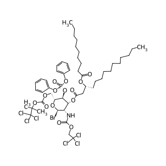 CCCCCCCCCCC[C@H](CC(=O)O[C@@H]1[C@H](NC(=O)OCC(Cl)(Cl)Cl)[C@@H](Br)O[C@H](COC(=O)OC(C)(C)C(Cl)(Cl)Cl)[C@H]1OP(=O)(Oc1ccccc1)Oc1ccccc1)OC(=O)CCCCCCCCC